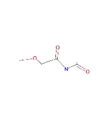 COCC(=O)[N][C]=O